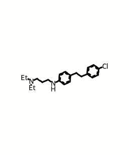 CCN(CC)CCCNc1ccc(CCc2ccc(Cl)cc2)cc1